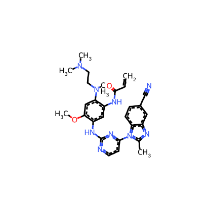 C=CC(=O)Nc1cc(Nc2nccc(-n3c(C)nc4cc(C#N)ccc43)n2)c(OC)cc1N(C)CCN(C)C